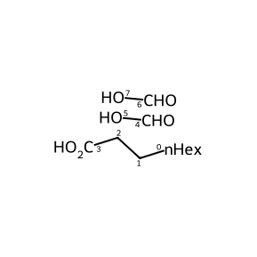 CCCCCCCCC(=O)O.O=CO.O=CO